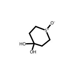 [O-][S+]1CCC(O)(O)CC1